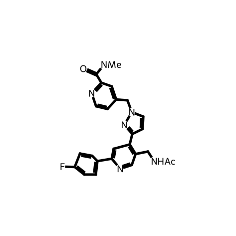 CNC(=O)c1cc(Cn2ccc(-c3cc(-c4ccc(F)cc4)ncc3CNC(C)=O)n2)ccn1